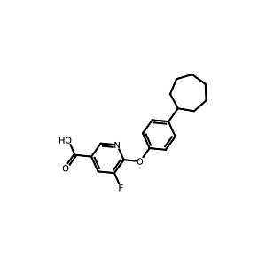 O=C(O)c1cnc(Oc2ccc(C3CCCCCC3)cc2)c(F)c1